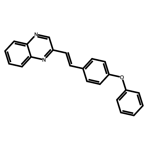 C(=Cc1cnc2ccccc2n1)c1ccc(Oc2ccccc2)cc1